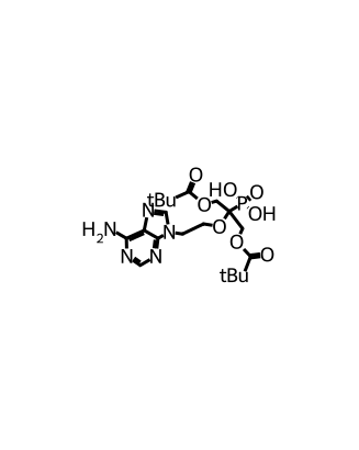 CC(C)(C)C(=O)OCC(COC(=O)C(C)(C)C)(OCCn1cnc2c(N)ncnc21)P(=O)(O)O